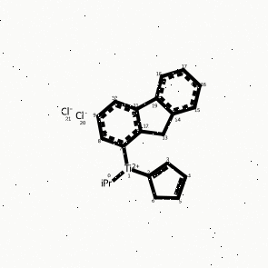 C[CH](C)[Ti+2]([C]1=CC=CC1)[c]1cccc2c1Cc1ccccc1-2.[Cl-].[Cl-]